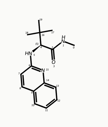 CNC(=O)[C@@H](Nc1ccc2ccccc2n1)C(C)(C)C